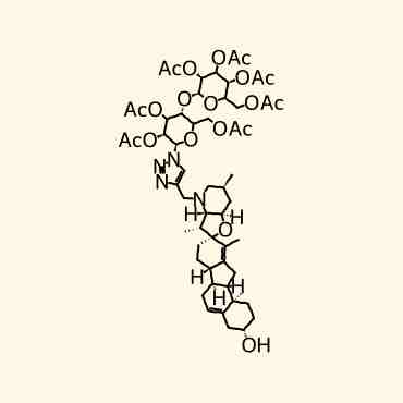 CC(=O)OCC1O[C@@H](n2cc(CN3C[C@@H](C)C[C@H]4O[C@]5(CC[C@@H]6C(=C5C)C[C@H]5[C@H]6CC=C6C[C@@H](O)CC[C@@]65C)[C@H](C)[C@@H]43)nn2)[C@@H](OC(C)=O)C(OC(C)=O)[C@@H]1O[C@@H]1OC(COC(C)=O)[C@H](OC(C)=O)C(OC(C)=O)[C@@H]1OC(C)=O